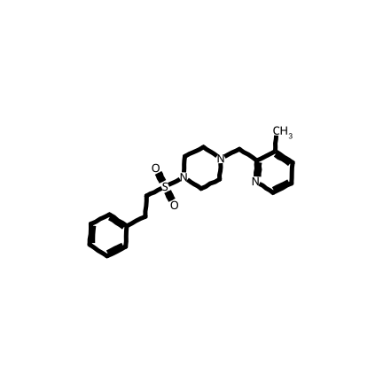 Cc1cccnc1CN1CCN(S(=O)(=O)CCc2ccccc2)CC1